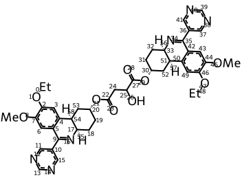 CCOc1cc2c(cc1OC)C(c1cncnc1)=N[C@@H]1CC[C@@H](OC(=O)CC(O)C(=O)O[C@@H]3CC[C@H]4N=C(c5cncnc5)c5cc(OC)c(OCC)cc5[C@H]4C3)C[C@H]21